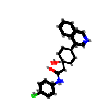 O=C(C[C@]1(O)CC[C@H](c2cncc3ccccc32)CC1)Nc1ccc(Cl)cc1